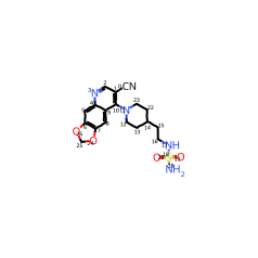 N#Cc1cnc2cc3c(cc2c1N1CCC(CCNS(N)(=O)=O)CC1)OCO3